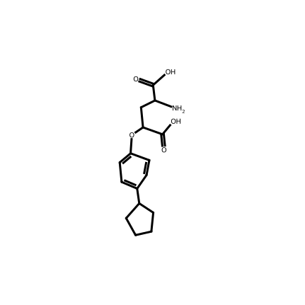 NC(CC(Oc1ccc(C2CCCC2)cc1)C(=O)O)C(=O)O